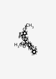 CCCOc1ccc(-c2ncc(C(C(=O)OC)n3cc4nc(-c5ccccc5F)nc-4cn3)cn2)c(C(F)(F)F)c1